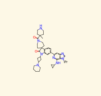 CC(C)n1cnc2cc(-c3ccc4c(c3)N(C3CC(N5CCCCC5)C3)C(=O)C43CCN(C(=O)C4(C)CCNCC4)CC3)nc(NC3CC3)c21